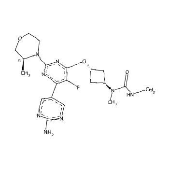 CNC(=O)N(C)[C@H]1C[C@H](Oc2nc(N3CCOC[C@@H]3C)nc(-c3cnc(N)nc3)c2F)C1